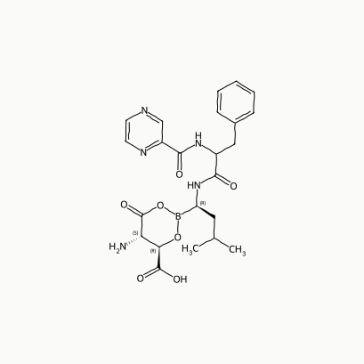 CC(C)C[C@H](NC(=O)C(Cc1ccccc1)NC(=O)c1cnccn1)B1OC(=O)[C@@H](N)[C@H](C(=O)O)O1